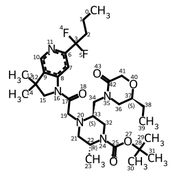 CCCC(F)(F)c1cc2c(cn1)C(C)(C)CN2C(=O)CN1C[C@@H](C)N(C(=O)OC(C)(C)C)C[C@@H]1CN1C[C@H](CC)OCC1=O